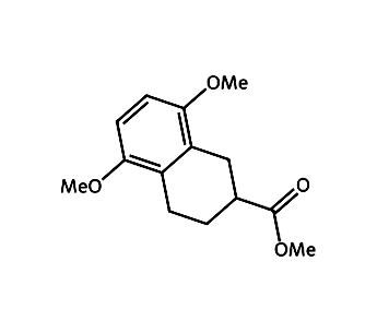 COC(=O)C1CCc2c(OC)ccc(OC)c2C1